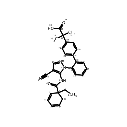 CCC1(C(=O)Nc2c(C#N)cnn2-c2ccccc2-c2ccc(C(C)(C)C(=O)O)cc2)C=CC=CC1